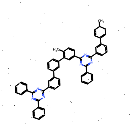 Cc1ccc(-c2nc(-c3ccccc3)nc(-c3cccc(C4=CCC(C)C=C4)c3)n2)cc1-c1cccc(-c2cccc(-c3nc(-c4ccccc4)nc(-c4ccccc4)n3)c2)c1